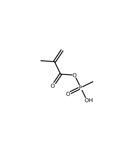 C=C(C)C(=O)OP(C)(=O)O